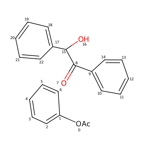 CC(=O)Oc1ccccc1.O=C(c1ccccc1)C(O)c1ccccc1